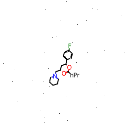 CCCC(=O)OC(CCCN1CCCCC1)c1ccc(F)cc1